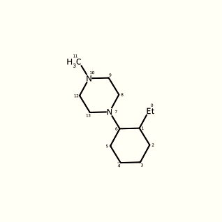 CCC1CC[CH]CC1N1CCN(C)CC1